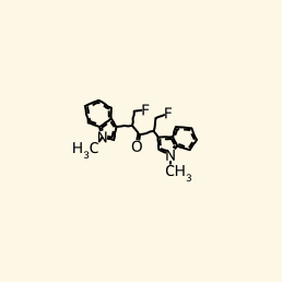 Cn1cc(C(CF)C(=O)C(CF)c2cn(C)c3ccccc23)c2ccccc21